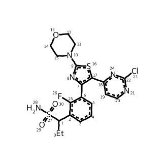 CCC(c1cccc(-c2nc(N3CCOCC3)sc2-c2ccnc(Cl)n2)c1F)S(N)(=O)=O